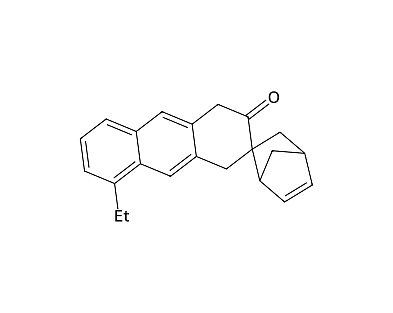 CCc1cccc2cc3c(cc12)CC1(CC2C=CC1C2)C(=O)C3